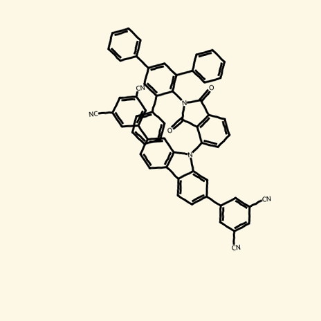 N#Cc1cc(C#N)cc(-c2ccc3c4ccc(-c5cc(C#N)cc(C#N)c5)cc4n(-c4cccc5c4C(=O)N(c4c(-c6ccccc6)cc(-c6ccccc6)cc4-c4ccccc4)C5=O)c3c2)c1